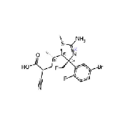 CS/C(N)=N\[C@](CF)(c1cc(Br)ccc1F)[C@H](C)[C@@H](C)CC(C#N)C(=O)O